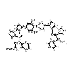 COC(=O)N[C@@H](C(=O)N1CCC[C@H]1c1ncc(-c2cc(F)c(N3CCC(c4cnc([C@@H]5CCCN5C(=O)[C@H](N)c5ccccc5)[nH]4)CC3)c(F)c2)[nH]1)c1ccccc1